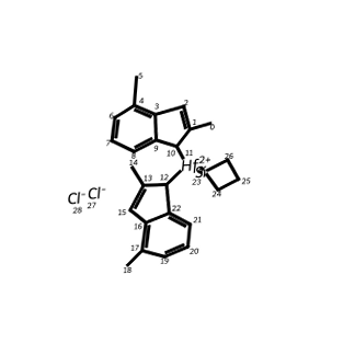 CC1=Cc2c(C)cccc2[CH]1[Hf+2]([CH]1C(C)=Cc2c(C)cccc21)=[Si]1CCC1.[Cl-].[Cl-]